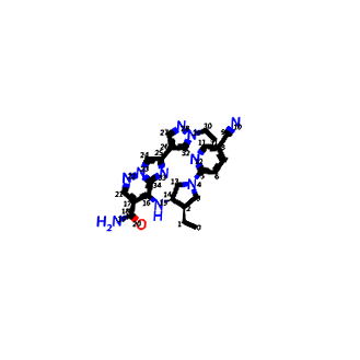 CC[C@@H]1CN(c2ccc(C#N)cn2)C[C@H]1Nc1c(C(N)=O)cnn2cc(-c3cnn(CC)c3)nc12